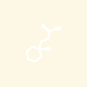 O=C(O)CCC1(Cl)CCCCC1